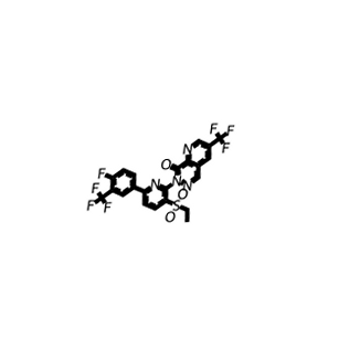 CCS(=O)(=O)c1ccc(-c2ccc(F)c(C(F)(F)F)c2)nc1-n1ncc2cc(C(F)(F)F)cnc2c1=O